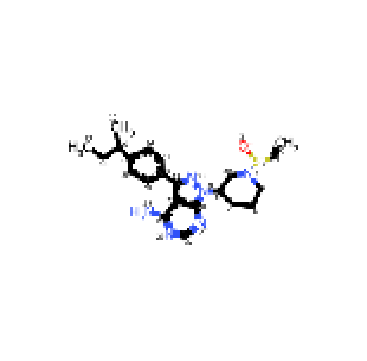 C=C[S+]([O-])N1CCCC(n2nc(-c3ccc(C(C)CC)cc3)c3c(N)ncnc32)C1